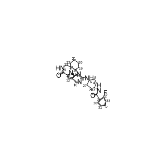 O=C(N[C@H]1CC[C@H](Nc2ncc3cc4n(c3n2)C2(CCCCC2)CNC4=O)CC1)c1ccccc1F